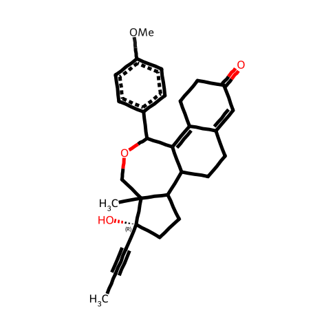 CC#C[C@]1(O)CCC2C3CCC4=CC(=O)CCC4=C3C(c3ccc(OC)cc3)OCC21C